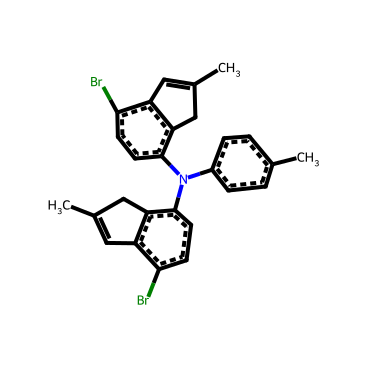 CC1=Cc2c(Br)ccc(N(c3ccc(C)cc3)c3ccc(Br)c4c3CC(C)=C4)c2C1